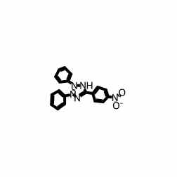 O=[N+]([O-])c1ccc(C2=NN(c3ccccc3)N(c3ccccc3)N2)cc1